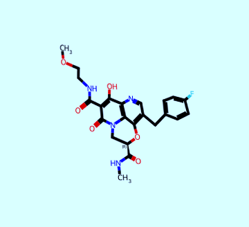 CNC(=O)[C@H]1Cn2c(=O)c(C(=O)NCCOC)c(O)c3ncc(Cc4ccc(F)cc4)c(c32)O1